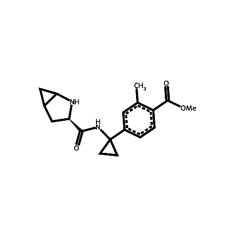 COC(=O)c1ccc(C2(NC(=O)[C@H]3CC4CC4N3)CC2)cc1C